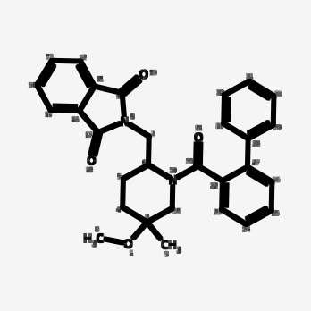 COC1(C)CCC(CN2C(=O)c3ccccc3C2=O)N(C(=O)c2ccccc2-c2ccccc2)C1